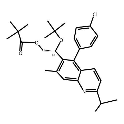 Cc1cc2nc(C(C)C)ccc2c(-c2ccc(Cl)cc2)c1[C@H](COC(=O)C(C)(C)C)OC(C)(C)C